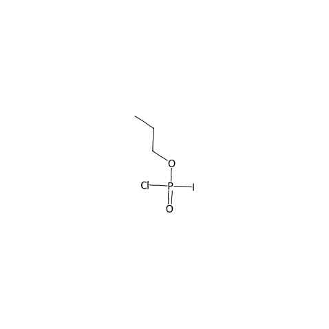 CCCOP(=O)(Cl)I